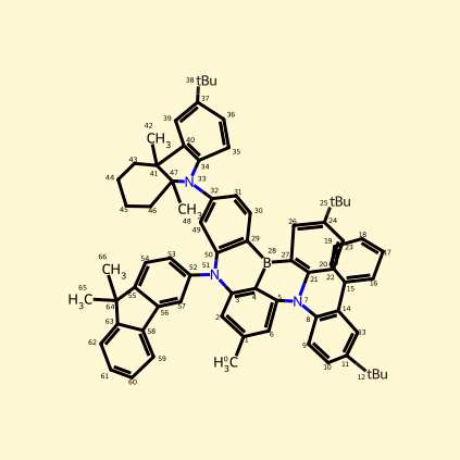 Cc1cc2c3c(c1)N(c1ccc(C(C)(C)C)cc1-c1ccccc1)c1ccc(C(C)(C)C)cc1B3c1ccc(N3c4ccc(C(C)(C)C)cc4C4(C)CCCCC34C)cc1N2c1ccc2c(c1)-c1ccccc1C2(C)C